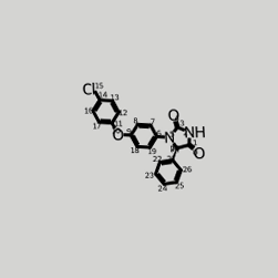 O=C1NC(=O)N(c2ccc(Oc3ccc(Cl)cc3)cc2)[C@@H]1c1ccccc1